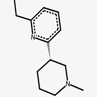 CCc1cccc([C@H]2CCCN(C)C2)n1